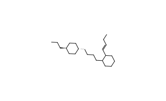 CCC=CC1CCCCC1CCCC[C@H]1CC[C@H](CCC)CC1